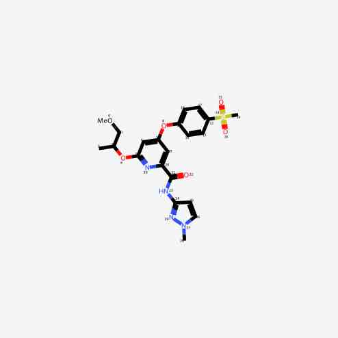 COCC(C)Oc1cc(Oc2ccc(S(C)(=O)=O)cc2)cc(C(=O)Nc2ccn(C)n2)n1